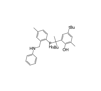 CCCCC(C)(Pc1ccc(C)cc1CNc1ccccc1)c1cc(C(C)(C)C)cc(C)c1O